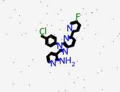 Nc1ncccc1-c1nc2ccc(-c3ccc(F)cn3)nc2n1-c1ccc(CCl)cc1